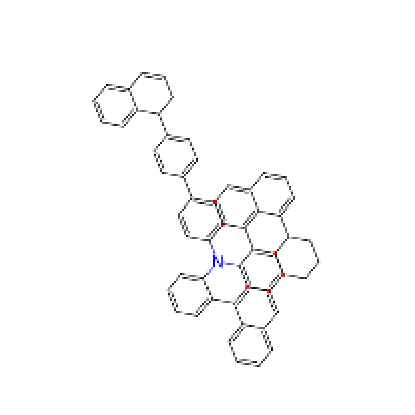 C1=Cc2ccccc2C(c2ccc(-c3ccc(N(c4ccccc4-c4cccc5ccccc45)c4ccccc4-c4cccc5cccc(C6CCCCC6)c45)cc3)cc2)C1